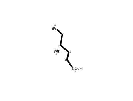 CC(C)CCCCC(=O)O.[Mn]